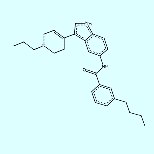 CCCCc1cccc(C(=O)Nc2ccc3[nH]cc(C4=CCN(CCC)CC4)c3c2)c1